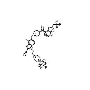 Cc1c(CN2CCC(Nc3ncnc4sc(CC(F)(F)F)cc34)CC2)ccc2c1cc(C#N)n2CCN1CCN(S(=O)(=O)C(F)(F)F)CC1